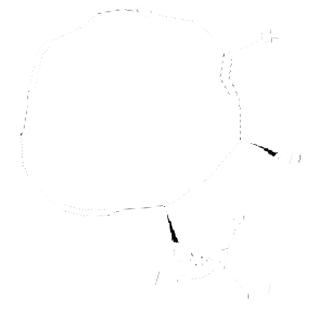 CO[C@H]1C=CCCC=CCOCC(C)=C[C@@H](C)[C@@H]1O[SiH](C)C